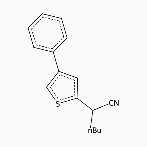 CCCCC(C#N)c1cc(-c2ccccc2)cs1